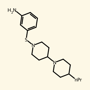 CCCC1CCN(C2CCN(Sc3cccc(N)c3)CC2)CC1